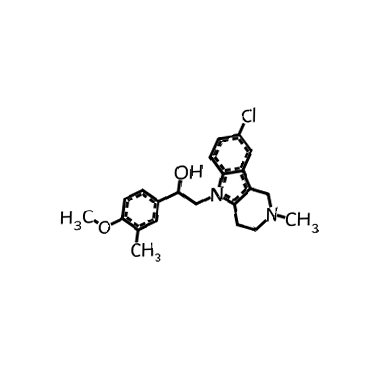 COc1ccc(C(O)Cn2c3c(c4cc(Cl)ccc42)CN(C)CC3)cc1C